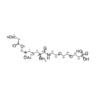 CCCCCCCCCCCC(=O)OC[C@H](CSC[C@H](N)C(=O)NCCOCCOCCP(=O)(O)O)OC(C)=O